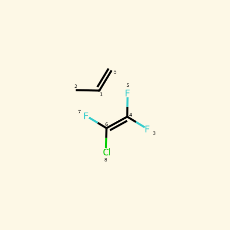 C=CC.FC(F)=C(F)Cl